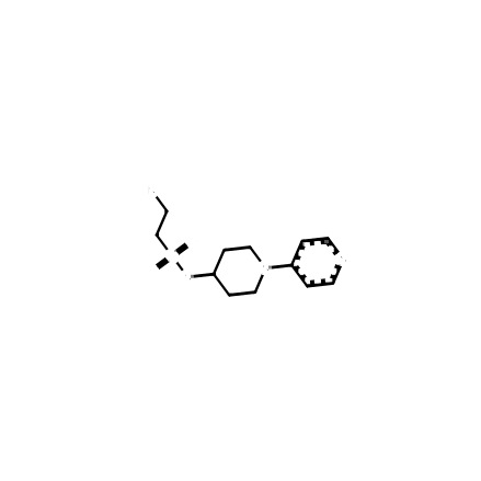 NCCS(=O)(=O)NC1CCN(c2ccncc2)CC1